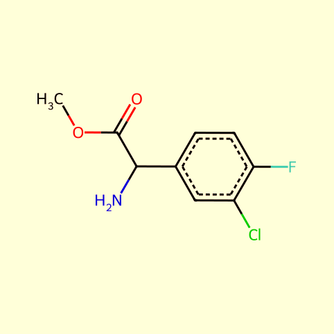 COC(=O)C(N)c1ccc(F)c(Cl)c1